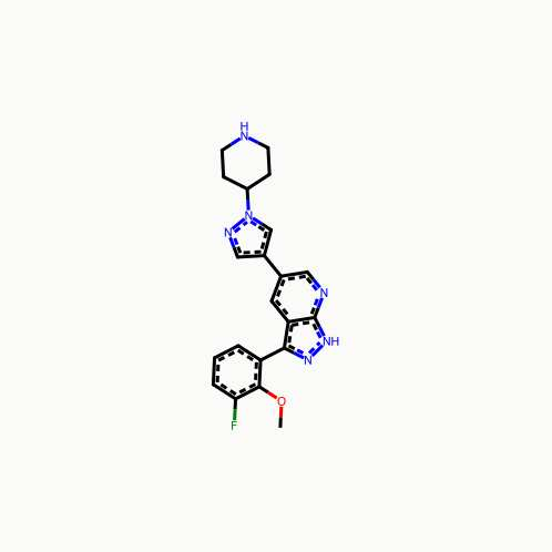 COc1c(F)cccc1-c1n[nH]c2ncc(-c3cnn(C4CCNCC4)c3)cc12